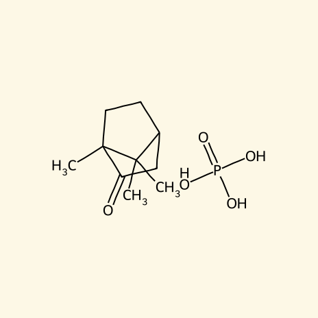 CC12CCC(CC1=O)C2(C)C.O=P(O)(O)O